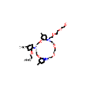 COCCOc1cc(C=O)ccc1N1CCOc2cc(C)ccc2NCCOCCOCCN(CCOCCOCCO)c2ccc(C)cc2OCC1